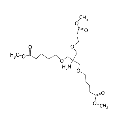 COC(=O)CCCCOCC(N)(COCCCCC(=O)OC)COCCC(=O)OC